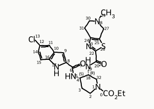 CCOC(=O)N1CC[C@H](NC(=O)c2cc3cc(Cl)ccc3[nH]2)[C@H](NC(=O)c2nc3c(s2)CN(C)CC3)C1